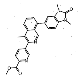 COC(=O)c1ccc(-c2ncc3c(-c4ccc5c(c4)n(C)c(=O)n5C)cccc3c2C)cn1